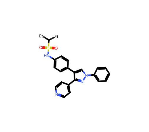 CCC(CC)S(=O)(=O)Nc1ccc(-c2cn(-c3ccccc3)nc2-c2ccncc2)cc1